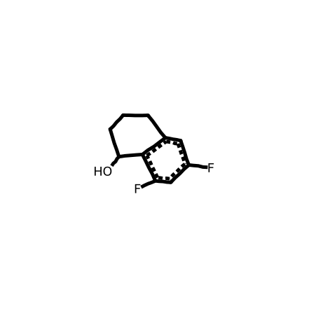 OC1CCCc2cc(F)cc(F)c21